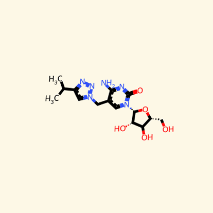 CC(C)c1cn(Cc2cn([C@@H]3O[C@H](CO)C(O)[C@@H]3O)c(=O)nc2N)nn1